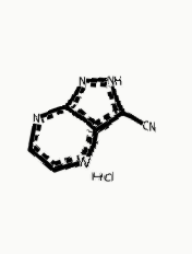 Cl.N#Cc1[nH]nc2nccnc12